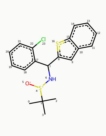 CC(C)(C)[S+]([O-])NC(c1cc2ccccc2s1)c1ccccc1Cl